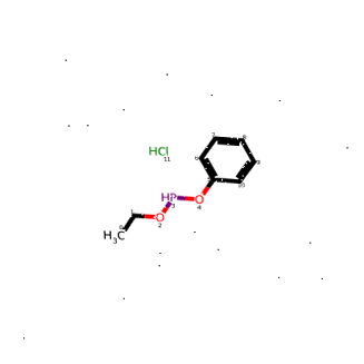 CCOPOc1ccccc1.Cl